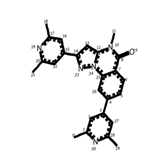 Cc1cc(-c2ccc3c(=O)n(C)c4cc(-c5cc(C)nc(C)c5)nn4c3c2)cc(C)n1